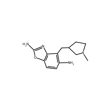 CN1CCC(Cc2c(N)ccc3oc(N)nc23)C1